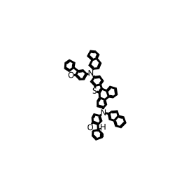 C1#C[C@H]2c3cc(N(c4ccc5ccccc5c4)c4ccc5c(c4)c4ccccc4c4c6ccc(N(c7ccc8ccccc8c7)c7ccc8oc9ccccc9c8c7)cc6sc54)ccc3OC2C=C1